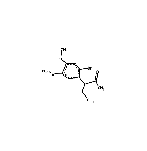 CCC(C(C)=O)c1cc(OC)c(OC)cc1Br